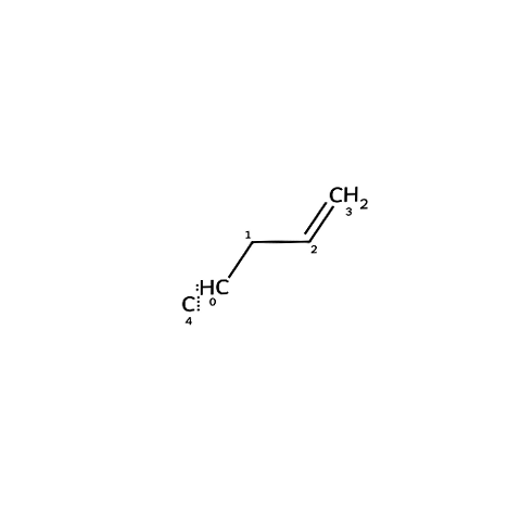 [CH]CC=C.[C]